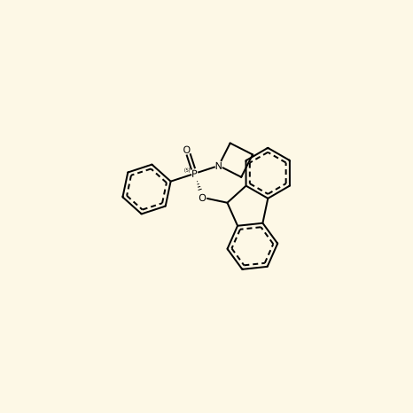 O=[P@](OC1c2ccccc2-c2ccccc21)(c1ccccc1)N1CCC1